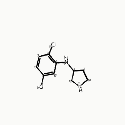 Clc1ccc(Cl)c(NC2CCNC2)c1